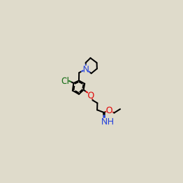 CCOC(=N)CCCOc1ccc(Cl)c(CN2CCCCC2)c1